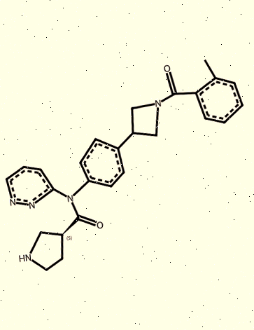 Cc1ccccc1C(=O)N1CC(c2ccc(N(C(=O)[C@H]3CCNC3)c3cccnn3)cc2)C1